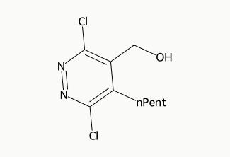 CCCCCc1c(Cl)nnc(Cl)c1CO